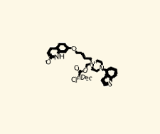 CCCCCCCCCCC(=O)OC[N+]1(CCCCOc2ccc3ccc(=O)[nH]c3c2)CCN(c2cccc3sccc23)CC1.[Cl-]